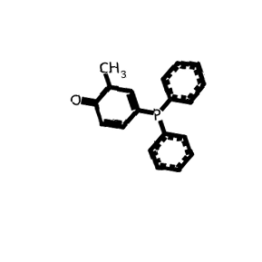 CC1C=C(P(c2ccccc2)c2ccccc2)C=CC1=O